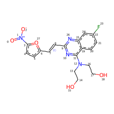 O=[N+]([O-])c1ccc(/C=C/c2nc(N(CCO)CCO)c3ccc(F)cc3n2)o1